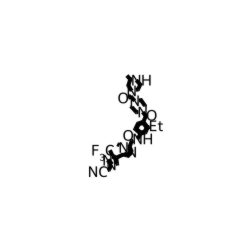 CCc1cc(NC(=O)c2ncc(-c3cn(CC#N)nc3C(F)(F)F)n2C)ccc1C(=O)N1CCN(C(=O)N2CCNC(C)C2)CC1